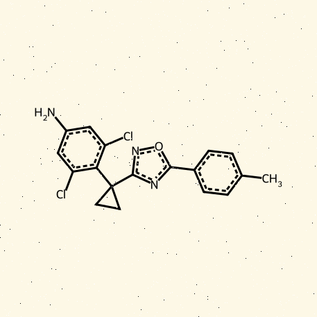 Cc1ccc(-c2nc(C3(c4c(Cl)cc(N)cc4Cl)CC3)no2)cc1